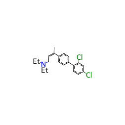 CCN(CC)C/C=C(/C)c1ccc(-c2ccc(Cl)cc2Cl)cc1